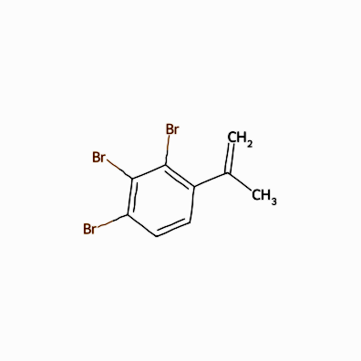 C=C(C)c1ccc(Br)c(Br)c1Br